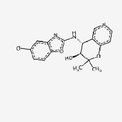 CC1(C)Oc2ccncc2[C@@H](Nc2nc3cc(Cl)ccc3o2)[C@@H]1O